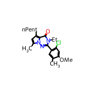 CCCCCc1cc(C)n2nc(-c3cc(C)c(OC)cc3Cl)n(CC)c(=O)c12